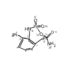 CC(C)c1cccc(C(C)C)c1NS(=O)(=O)OC(N)=O